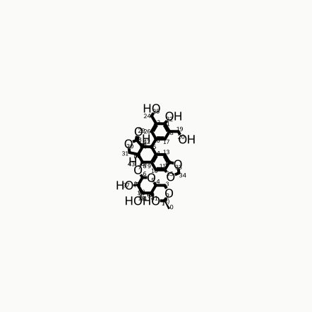 C[C@@H]1OCC2OC(O[C@@H]3c4cc5c(cc4C(c4cc(CO)c(O)c(CO)c4)[C@H]4C(=O)OC[C@H]34)OCO5)[C@H](O)[C@@H](O)[C@@H]2O1